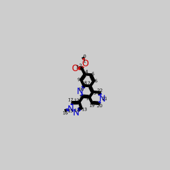 COC(=O)c1ccc2c(c1)nc(-c1cnn(C)c1)c1ccncc12